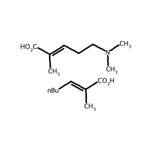 CC(=CCCN(C)C)C(=O)O.CCCCC=C(C)C(=O)O